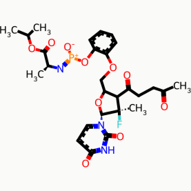 CC(=O)CCC(=O)C1C(COc2ccccc2O[P+]([O-])=N[C@@H](C)C(=O)OC(C)C)O[C@@H](n2ccc(=O)[nH]c2=O)[C@]1(C)F